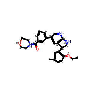 CCOc1ccc(C)cc1C1CNc2ncc(-c3cccc(C(=O)N4CCOCC4)c3)cc21